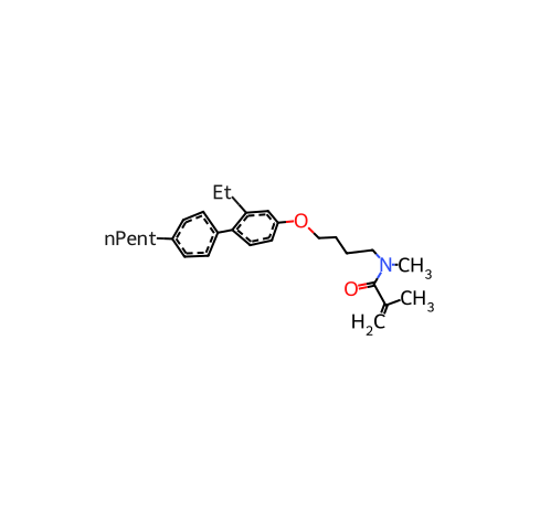 C=C(C)C(=O)N(C)CCCCOc1ccc(-c2ccc(CCCCC)cc2)c(CC)c1